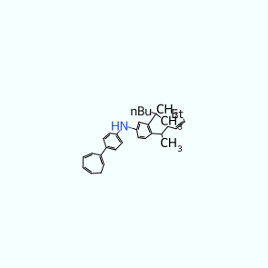 CC/C=C\CC(C)c1ccc(Nc2ccc(C3=CCC=CC=C3)cc2)cc1C(C)(C)CCCC